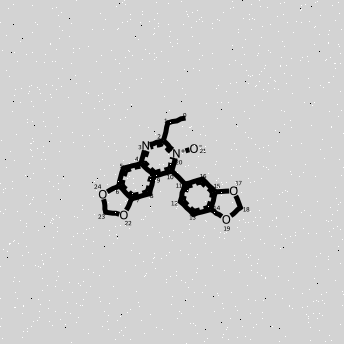 CCc1nc2cc3c(cc2c(-c2ccc4c(c2)OCO4)[n+]1[O-])OCO3